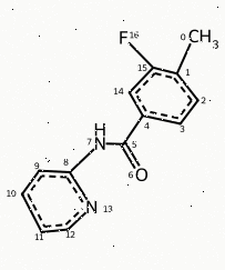 Cc1ccc(C(=O)Nc2ccccn2)cc1F